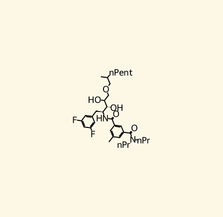 CCCCCC(C)COCC(O)[C@H](O)[C@H](Cc1cc(F)cc(F)c1)NC(=O)c1cc(C)cc(C(=O)N(CCC)CCC)c1